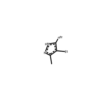 CCCc1[nH]nc(C)c1CC